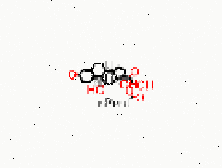 CCCCCC(=O)OC(O)C(=O)[C@@]1(O)CC[C@H]2[C@@H]3CCC4=CC(=O)CC[C@]4(C)[C@H]3[C@@H](O)C[C@@]21C